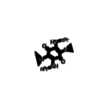 CCCNC1=C(N2CC2)C(=O)C(NCCC)=C(N2CC2)C1=O